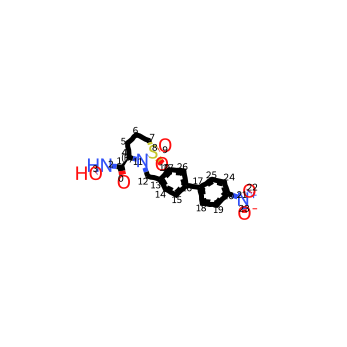 O=C(NO)[C@H]1CCCS(=O)(=O)N1Cc1ccc(-c2ccc([N+](=O)[O-])cc2)cc1